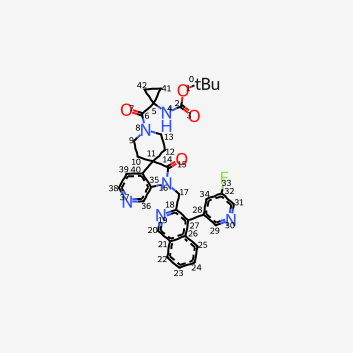 CC(C)(C)OC(=O)NC1(C(=O)N2CCC3(CC2)C(=O)N(Cc2ncc4ccccc4c2-c2cncc(F)c2)c2cnccc23)CC1